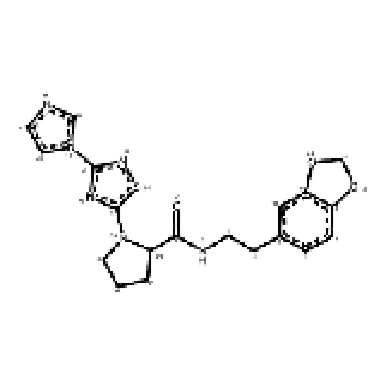 O=C(NCCc1ccc2c(c1)OCO2)C1CCCN1c1nc(-n2ccnc2)ns1